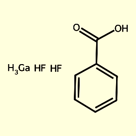 F.F.O=C(O)c1ccccc1.[GaH3]